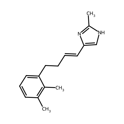 Cc1nc(C=CCCc2cccc(C)c2C)c[nH]1